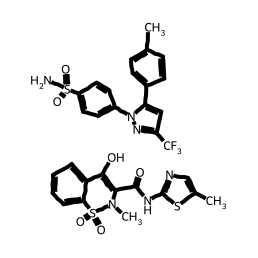 Cc1ccc(-c2cc(C(F)(F)F)nn2-c2ccc(S(N)(=O)=O)cc2)cc1.Cc1cnc(NC(=O)C2=C(O)c3ccccc3S(=O)(=O)N2C)s1